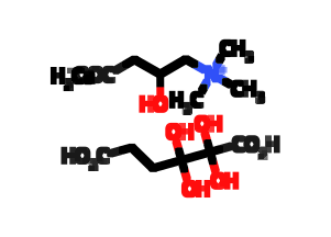 C[N+](C)(C)CC(O)CC(=O)[O-].O=C(O)CCC(O)(O)C(O)(O)C(=O)O.[CaH2]